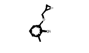 Cc1cccc(OCC2CO2)c1O